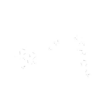 COc1cc(Nc2c(C#N)cnc3cc(OCCCN4CCN(C(=O)CCCCCNC(C(=O)N5CC(O)CC5C(=O)NCc5ccc(-c6scnc6C)cc5)C(C)(C)C)CC4)c(OC)cc23)c(Cl)cc1Cl